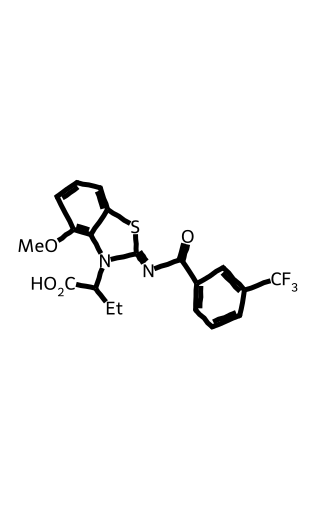 CCC(C(=O)O)n1/c(=N/C(=O)c2cccc(C(F)(F)F)c2)sc2cccc(OC)c21